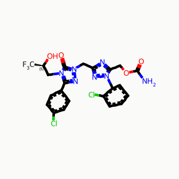 NC(=O)OCc1nc(Cn2nc(-c3ccc(Cl)cc3)n(C[C@H](O)C(F)(F)F)c2=O)nn1-c1ccccc1Cl